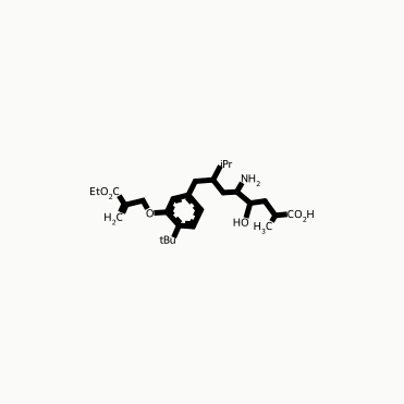 C=C(COc1cc(CC(CC(N)C(O)CC(C)C(=O)O)C(C)C)ccc1C(C)(C)C)C(=O)OCC